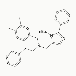 CCCCn1c(CN(CCc2ccccc2)Cc2ccc(C)c(C)c2)cnc1-c1ccccc1